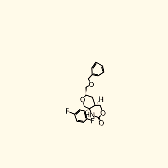 O=C1N[C@@]2(c3cc(F)ccc3F)CO[C@@H](COCc3ccccc3)C[C@H]2CO1